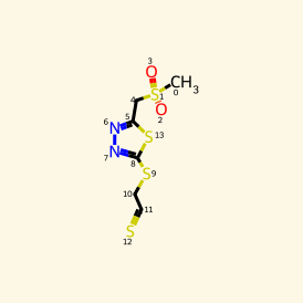 CS(=O)(=O)Cc1nnc(SC[C]=S)s1